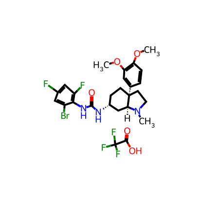 COc1ccc([C@@]23CC[C@@H](NC(=O)Nc4c(F)cc(F)cc4Br)C[C@@H]2N(C)CC3)cc1OC.O=C(O)C(F)(F)F